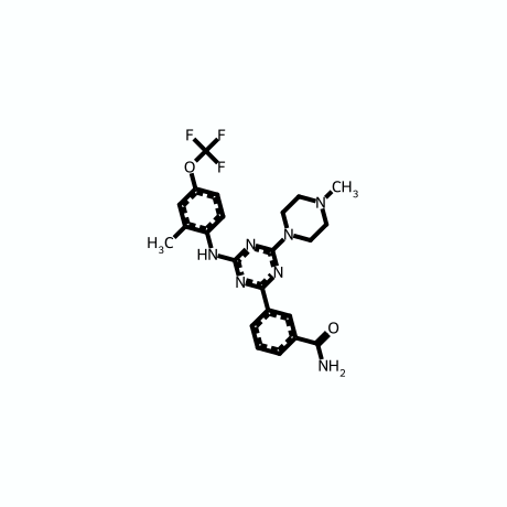 Cc1cc(OC(F)(F)F)ccc1Nc1nc(-c2cccc(C(N)=O)c2)nc(N2CCN(C)CC2)n1